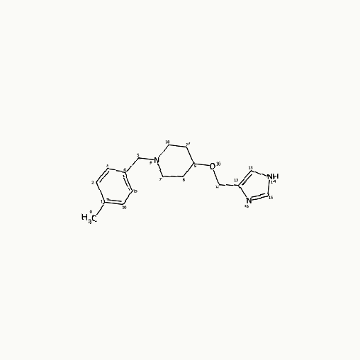 Cc1ccc(CN2CCC(OCc3c[nH]cn3)CC2)cc1